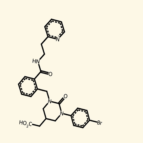 O=C(O)CC1CN(Cc2ccccc2C(=O)NCCc2ccccn2)C(=O)N(c2ccc(Br)cc2)C1